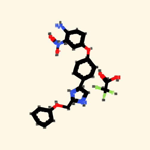 Nc1ccc(Oc2ccc(-c3c[nH]c(COc4ccccc4)n3)cc2)cc1[N+](=O)[O-].O=C(O)C(F)(F)F